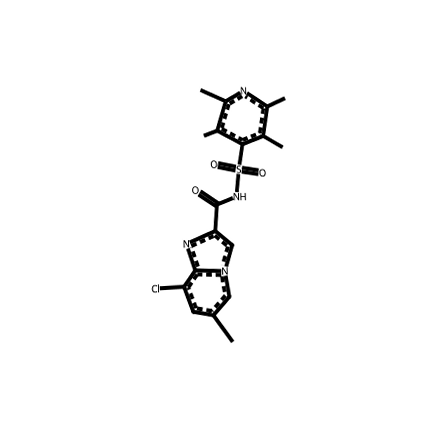 Cc1cc(Cl)c2nc(C(=O)NS(=O)(=O)c3c(C)c(C)nc(C)c3C)cn2c1